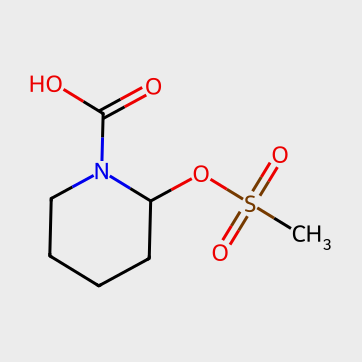 CS(=O)(=O)OC1CCCCN1C(=O)O